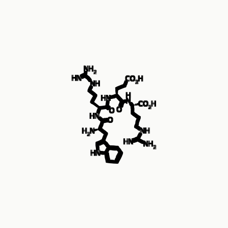 N=C(N)NCCC[C@H](NC(=O)[C@H](CCC(=O)O)NC(=O)[C@H](CCCNC(=N)N)NC(=O)[C@@H](N)Cc1c[nH]c2ccccc12)C(=O)O